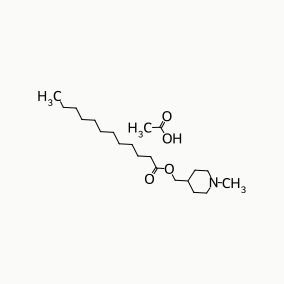 CC(=O)O.CCCCCCCCCCCC(=O)OCC1CCN(C)CC1